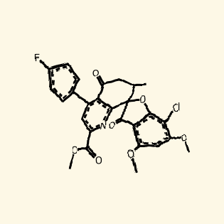 COC(=O)c1cc(-c2ccc(F)cc2)c2c(n1)C1(Oc3c(Cl)c(OC)cc(OC)c3C1=O)C(C)CC2=O